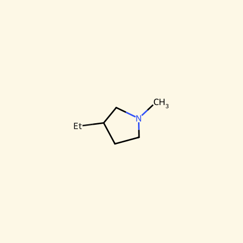 [CH2]CC1CCN(C)C1